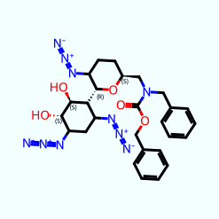 [N-]=[N+]=NC1CC(N=[N+]=[N-])[C@H](O)[C@@H](O)C1[C@H]1O[C@H](CN(Cc2ccccc2)C(=O)OCc2ccccc2)CCC1N=[N+]=[N-]